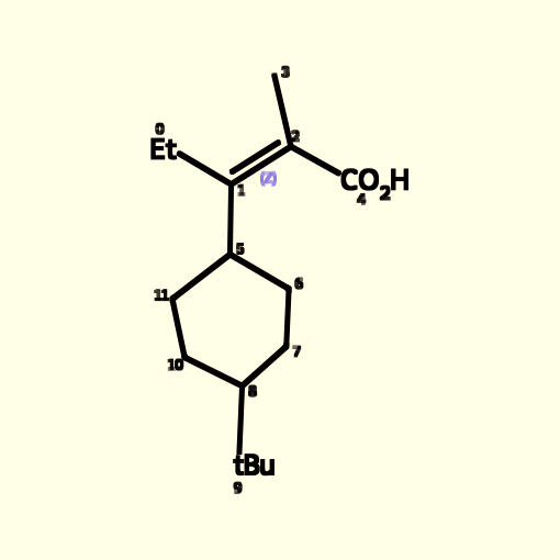 CC/C(=C(\C)C(=O)O)C1CCC(C(C)(C)C)CC1